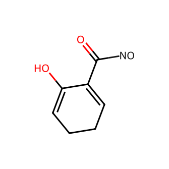 O=NC(=O)C1=CCCC=C1O